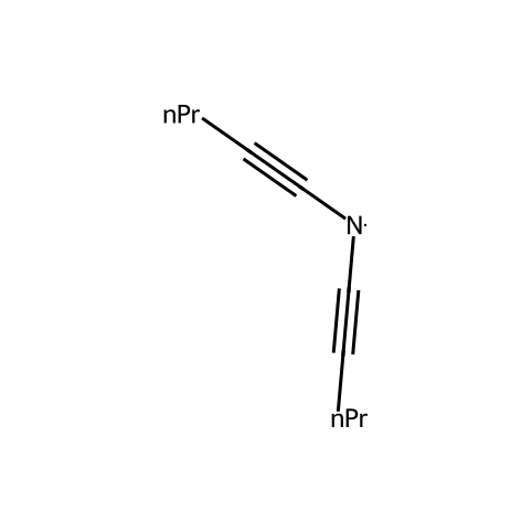 CCCC#C[N]C#CCCC